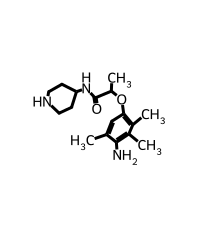 Cc1cc(OC(C)C(=O)NC2CCNCC2)c(C)c(C)c1N